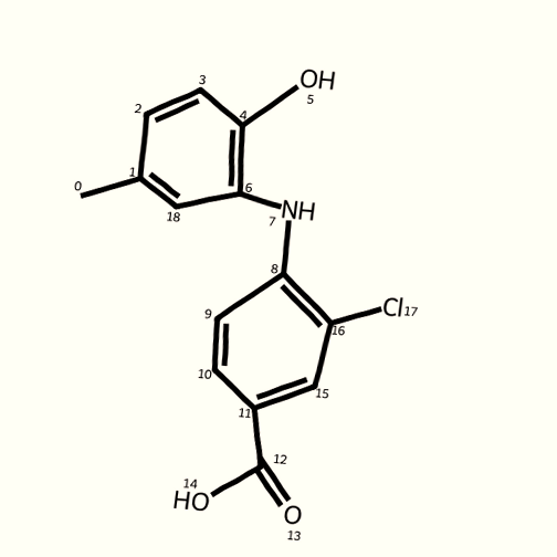 Cc1ccc(O)c(Nc2ccc(C(=O)O)cc2Cl)c1